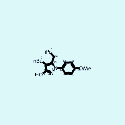 CCCCc1c(O)nn(-c2ccc(OC)cc2)c1CC(C)C